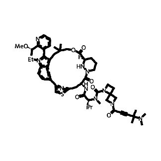 CCn1c(-c2cccnc2[C@H](C)OC)c2c3cc(ccc31)-c1csc(n1)C[C@H](NC(=O)[C@H](C(C)C)N(C)C(=O)N1CCC13CN(C(=O)C#CC(C)(C)N(C)C)C3)C(=O)N1CCC[C@H](N1)C(=O)OCC(C)(C)C2